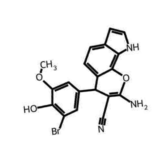 COc1cc(C2C(C#N)=C(N)Oc3c2ccc2cc[nH]c32)cc(Br)c1O